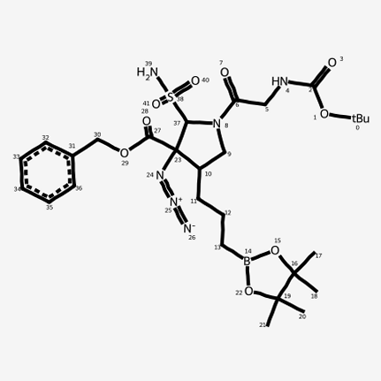 CC(C)(C)OC(=O)NCC(=O)N1CC(CCCB2OC(C)(C)C(C)(C)O2)C(N=[N+]=[N-])(C(=O)OCc2ccccc2)C1S(N)(=O)=O